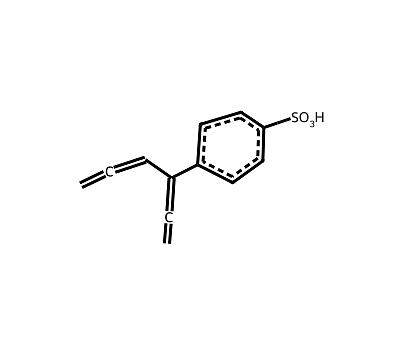 C=C=CC(=C=C)c1ccc(S(=O)(=O)O)cc1